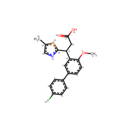 COc1ccc(-c2ccc(F)cc2)cc1C(CC(=O)O)c1ncc(C)s1